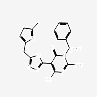 CCCCc1nc(O)c(-c2nnc(CC3=CCC(C)=N3)o2)c(=O)n1[C@@H](CC)c1ccccc1